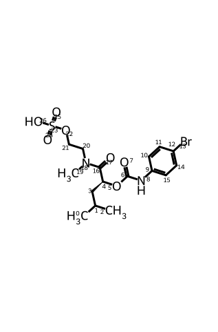 CC(C)C[C@H](OC(=O)Nc1ccc(Br)cc1)C(=O)N(C)CCOS(=O)(=O)O